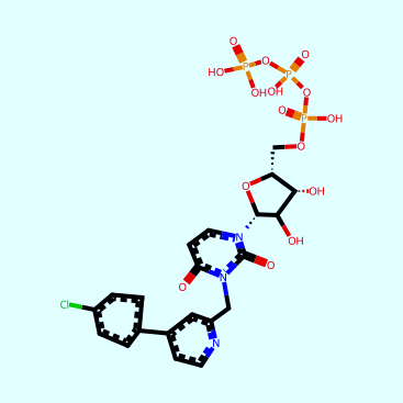 O=c1ccn([C@@H]2O[C@H](COP(=O)(O)OP(=O)(O)OP(=O)(O)O)[C@H](O)C2O)c(=O)n1Cc1cc(-c2ccc(Cl)cc2)ccn1